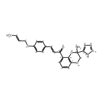 C/C=C/COc1ccc(C=CC(=O)c2cccc3c2OC(N)(c2nnn[nH]2)CO3)cc1